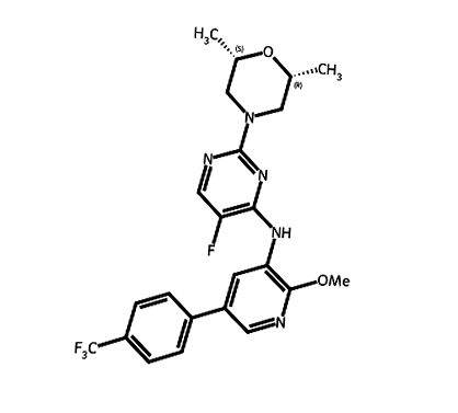 COc1ncc(-c2ccc(C(F)(F)F)cc2)cc1Nc1nc(N2C[C@@H](C)O[C@@H](C)C2)ncc1F